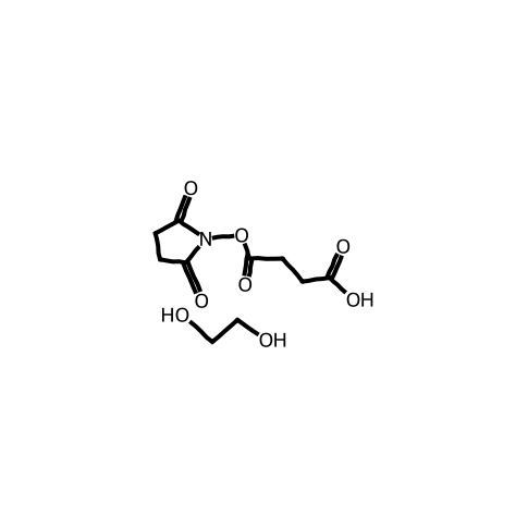 O=C(O)CCC(=O)ON1C(=O)CCC1=O.OCCO